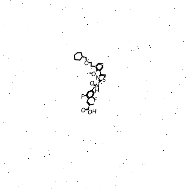 COc1c(CCOCC2CCCCC2)cccc1-c1csc(NC(=O)c2cc(F)c(C=C(C)C(=O)O)c(F)c2)n1